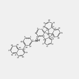 c1cc(Nc2cccc3c2-c2ccccc2C32c3ccccc3-c3ccccc32)cc(-c2cccc3ccccc23)c1